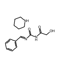 C1CCNCC1.O=C(CO)NC(=O)N=Cc1ccccc1